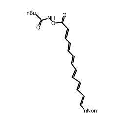 CCCCCCCCCC=CC=CC=CC=CC=CC=CC(=O)ONC(=O)CCCC